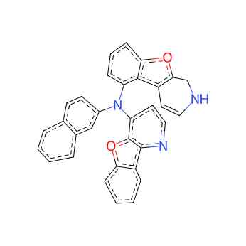 C1=Cc2c(oc3cccc(N(c4ccc5ccccc5c4)c4ccnc5c4oc4ccccc45)c23)CN1